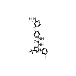 CC(C)(C)c1cc(NC(=O)Nc2ccc(Oc3ccnc(N)c3)cc2)n(-c2cccc(F)c2)n1